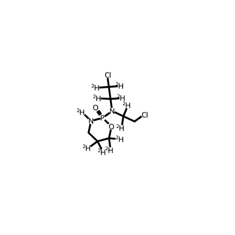 [2H]N1CC([2H])([2H])C([2H])([2H])OP1(=O)N(C([2H])([2H])CCl)C([2H])([2H])C([2H])([2H])Cl